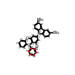 CC(C)(C)c1ccc2c(c1)c1cc(C(C)(C)C)ccc1n2-c1cc2c3c(c1)Oc1ccccc1[Si]3(c1ccccc1)c1ccccc1O2